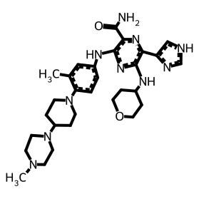 Cc1cc(Nc2nc(NC3CCOCC3)c(-c3c[nH]cn3)nc2C(N)=O)ccc1N1CCC(N2CCN(C)CC2)CC1